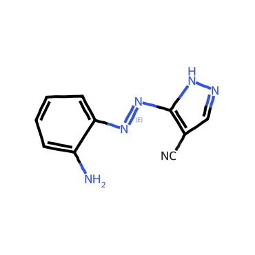 N#Cc1cn[nH]c1/N=N/c1ccccc1N